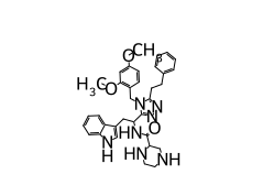 COc1ccc(Cn2c(CCc3ccccc3)nnc2C(Cc2c[nH]c3ccccc23)NC(=O)C2CNCCN2)c(OC)c1